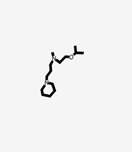 CC(C)OCCN(C)CCCN1CCCCC1